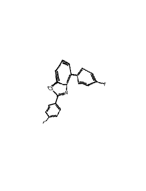 Fc1ccc(-c2nc3c(-c4ccc(F)cc4)cccc3o2)cc1